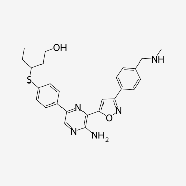 CCC(CCO)Sc1ccc(-c2cnc(N)c(-c3cc(-c4ccc(CNC)cc4)no3)n2)cc1